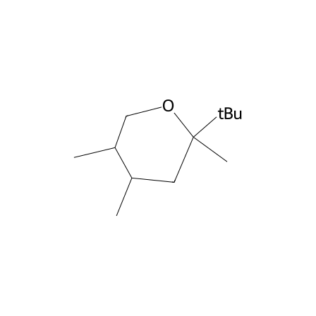 CC1COC(C)(C(C)(C)C)CC1C